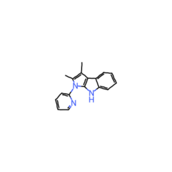 Cc1c(C)n(-c2ccccn2)c2[nH]c3ccccc3c12